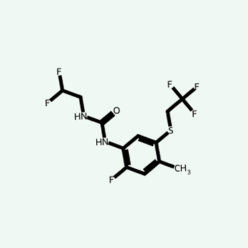 Cc1cc(F)c(NC(=O)NCC(F)F)cc1SCC(F)(F)F